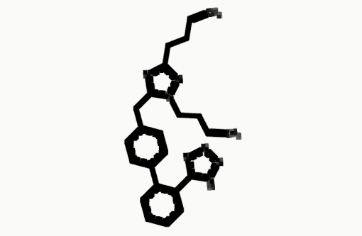 C=CCCc1nc(Cc2ccc(-c3ccccc3-c3nnn[nH]3)cc2)n(CCC=C)n1